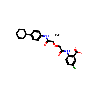 O=C(COCC(=O)Nc1ccc(Cl)cc1C(=O)[O-])Nc1ccc(C2CCCCC2)cc1.[Na+]